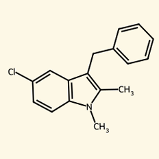 Cc1c(Cc2ccccc2)c2cc(Cl)ccc2n1C